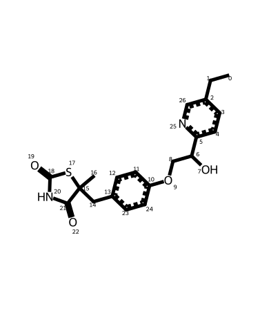 CCc1ccc(C(O)COc2ccc(CC3(C)SC(=O)NC3=O)cc2)nc1